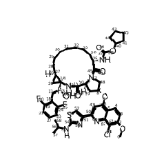 COc1ccc2c(O[C@@H]3C[C@H]4C(=O)N[C@]5(P(O)Cc6c(F)cccc6F)C[C@H]5CCCCCCC[C@H](NC(=O)OC5CCCC5)C(=O)N4C3)cc(-c3csc(NC(C)C)n3)nc2c1Cl